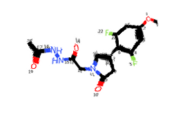 COc1cc(F)c([C@H]2CC(=O)N(CC(=O)NNC(C)=O)C2)c(F)c1